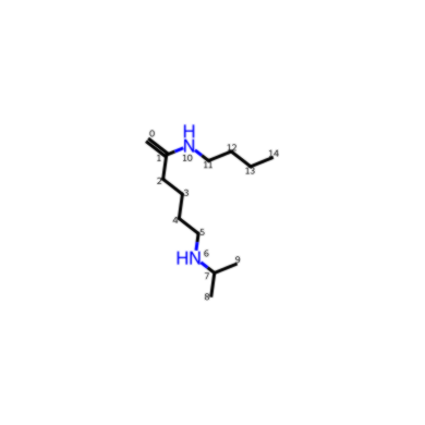 C=C(CCCCNC(C)C)NCCCC